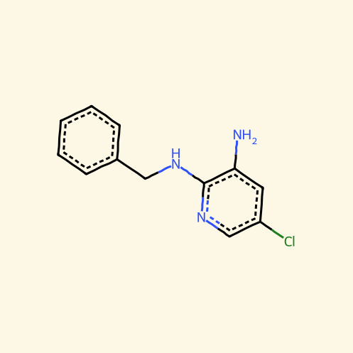 Nc1cc(Cl)cnc1NCc1ccccc1